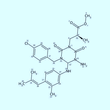 COC(=O)[C@@H](C)CN1C(=O)N(N)C(Nc2ccc(C=C(C)C)c(C)c2)N(Cc2ccc(Cl)cc2)C1=O